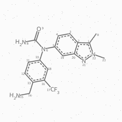 Cc1c2ccc(N(C(N)=O)c3ccc(CN)c(C(F)(F)F)c3)cc2nn1C